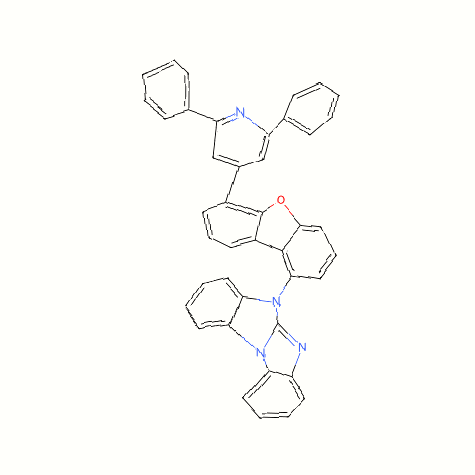 c1ccc(-c2cc(-c3cccc4c3oc3cccc(-n5c6ccccc6n6c7ccccc7nc56)c34)cc(-c3ccccc3)n2)cc1